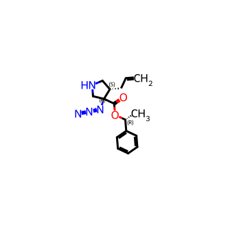 C=CC[C@H]1CNC[C@@]1(N=[N+]=[N-])C(=O)O[C@H](C)c1ccccc1